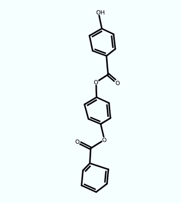 O=C(Oc1ccc(OC(=O)c2ccc(O)cc2)cc1)c1ccccc1